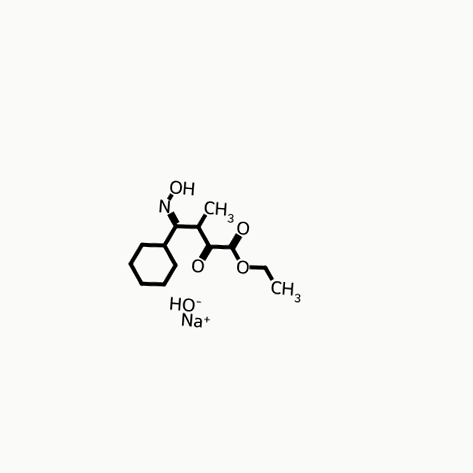 CCOC(=O)C(=O)C(C)/C(=N\O)C1CCCCC1.[Na+].[OH-]